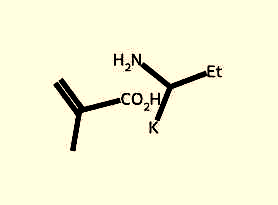 C=C(C)C(=O)O.CC[CH](N)[K]